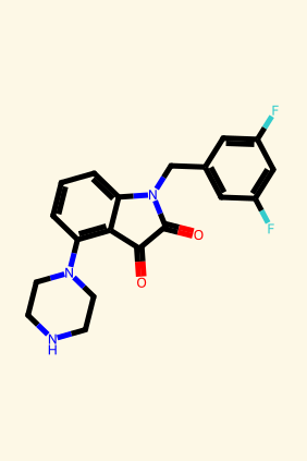 O=C1C(=O)N(Cc2cc(F)cc(F)c2)c2cccc(N3CCNCC3)c21